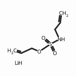 C=CCNS(=O)(=O)OCC=C.[LiH]